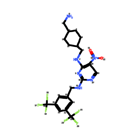 NCC1CCC(CNc2nc(NCc3cc(C(F)(F)F)cc(C(F)(F)F)c3)ncc2[N+](=O)[O-])CC1